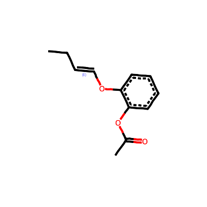 CC/C=C/Oc1ccccc1OC(C)=O